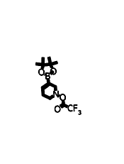 CC1(C)OB(C2=CCCN(OC(=O)C(F)(F)F)C2)OC1(C)C